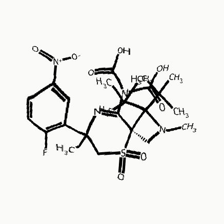 CN1C[C@]2(C(N(C(=O)O)C(=O)O)=NC(C)(c3cc([N+](=O)[O-])ccc3F)CS2(=O)=O)C1(C(C)(C)C)C(C)(C)C